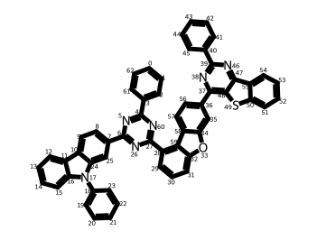 c1ccc(-c2nc(-c3ccc4c5ccccc5n(-c5ccccc5)c4c3)nc(-c3cccc4oc5cc(-c6nc(-c7ccccc7)nc7c6sc6ccccc67)ccc5c34)n2)cc1